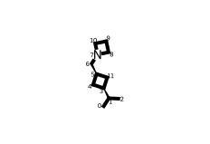 CC(C)[C@H]1C[C@@H](CN2CCC2)C1